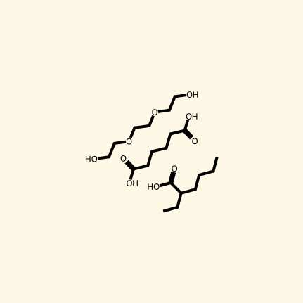 CCCCC(CC)C(=O)O.O=C(O)CCCCC(=O)O.OCCOCCOCCO